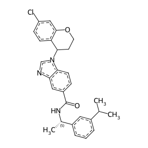 CC(C)c1cccc([C@H](C)NC(=O)c2ccc3c(c2)ncn3C2CCOc3cc(Cl)ccc32)c1